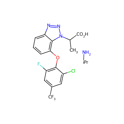 CC(C(=O)O)n1nnc2cccc(Oc3c(F)cc(C(F)(F)F)cc3Cl)c21.CC(C)N